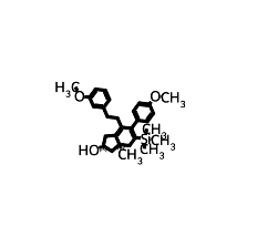 COc1ccc(C2=C([Si](C)(C)C)C[C@@]3(C)C[C@@H](O)CC3=C2CCc2cccc(OC)c2)cc1